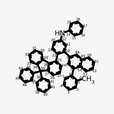 Cc1ccccc1-c1cc(-c2cc(Nc3ccccc3)ccc2-c2cccc3c2-c2ccccc2C3(c2ccccc2)c2ccccc2)cc2ccccc12